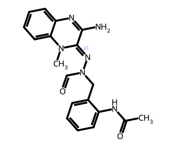 CC(=O)Nc1ccccc1CN(C=O)/N=c1/c(N)nc2ccccc2n1C